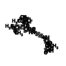 CCC(C)(C)C(=O)C(=O)N1CCCCC1C(=O)C[C@H](CCc1ccc(OC)c(OC)c1)c1cccc(OCC(=O)NCCCCCCNc2ccc(S(=O)(=O)N(C)C3CCC(=O)NC3=O)cc2)c1